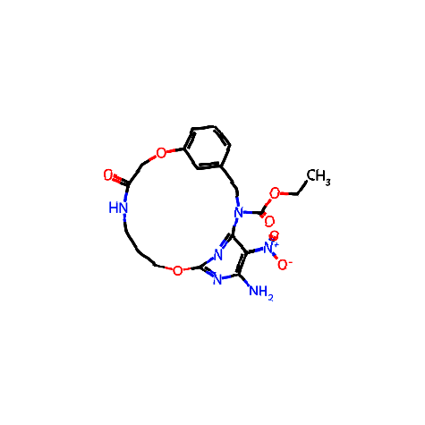 CCOC(=O)N1Cc2cccc(c2)OCC(=O)NCCCOc2nc(N)c([N+](=O)[O-])c1n2